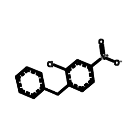 O=[N+]([O-])c1ccc(Cc2ccccc2)c(Cl)c1